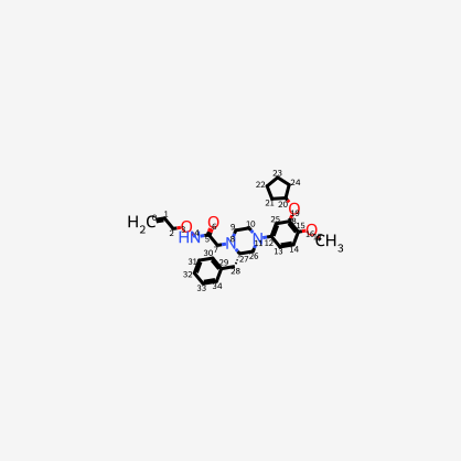 C=CCONC(=O)CN1CCN(c2ccc(OC)c(OC3CCCC3)c2)C[C@@H]1Cc1ccccc1